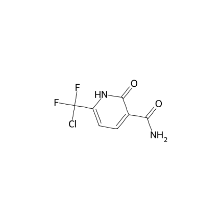 NC(=O)c1ccc(C(F)(F)Cl)[nH]c1=O